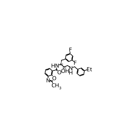 CCc1cccc(CNC[C@H](O)[C@H](Cc2cc(F)cc(F)c2)NC(=O)c2cccc3nc(C)oc23)c1